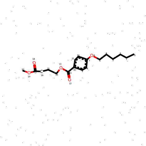 CCCCCCOc1ccc(C(=O)OCCCC(=O)OC)cc1